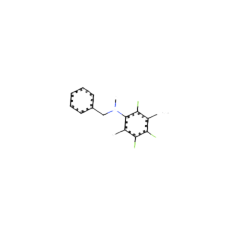 COc1c(F)c(F)c([N+](=O)[O-])c(N(Cc2ccccc2)C(C)=O)c1F